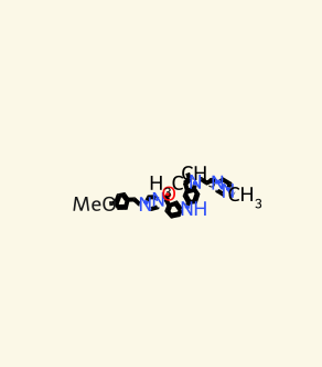 COc1ccc(CCN2CCN(C(=O)c3cccc(Nc4ccc5c(c4)c(C)c(C)n5CCCN4CCN(C)CC4)c3)CC2)cc1